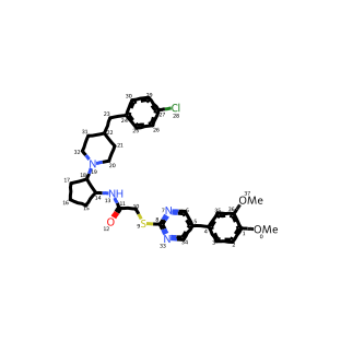 COc1ccc(-c2cnc(SCC(=O)NC3CCCC3N3CCC(Cc4ccc(Cl)cc4)CC3)nc2)cc1OC